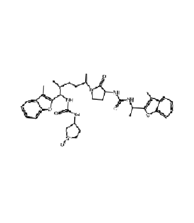 Cc1c(C(C)NC(=O)NC2CCN(C(C)CCC(C)C(NC(=O)NC3CC[S+]([O-])C3)c3oc4ccccc4c3C)C2=O)oc2ccccc12